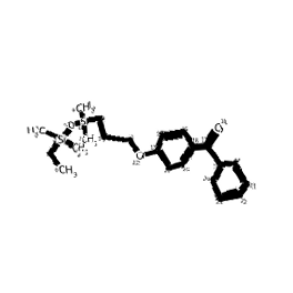 CC[Si](C)(C)O[Si](C)(C)CCCOc1ccc(C(=O)c2ccccc2)cc1